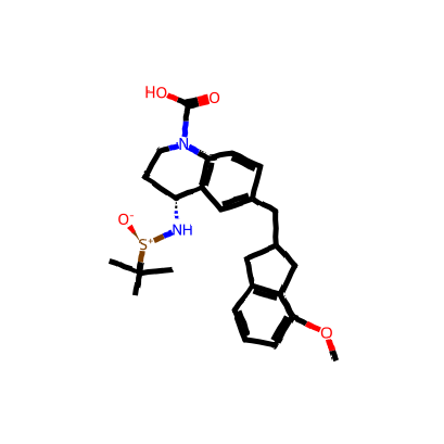 COc1cccc2c1CC(Cc1ccc3c(c1)[C@H](N[S@+]([O-])C(C)(C)C)CCN3C(=O)O)C2